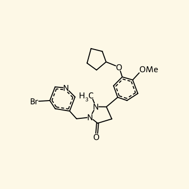 COc1ccc(C2CC(=O)N(Cc3cncc(Br)c3)N2C)cc1OC1CCCC1